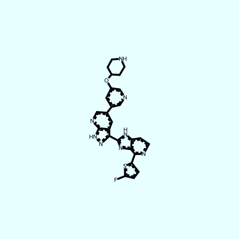 Fc1ccc(-c2nccc3[nH]c(-c4n[nH]c5ncc(-c6cncc(OC7CCNCC7)c6)cc45)nc23)s1